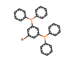 Brc1cc(P(c2ccccc2)c2ccccc2)cc(P(c2ccccc2)c2ccccc2)c1